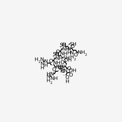 C[C@@H](O)[C@H](NC(=O)[C@H](CC(=O)O)NC(=O)[C@H](CCCNC(=N)N)NC(=O)[C@H](CCCNC(=N)N)NC(=O)[C@H](CS)NC(=O)[C@H](CS)NC(=O)[C@H](CS)NC(=O)[C@H](CS)NC(=O)[C@@H](N)CC(N)=O)C(=O)O